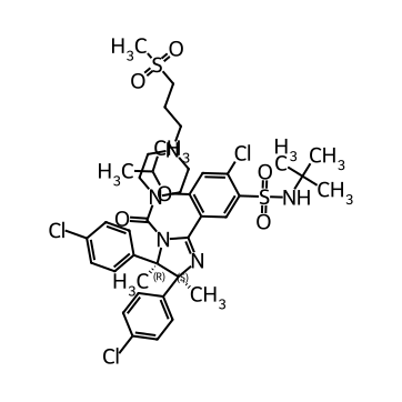 CC(C)Oc1cc(Cl)c(S(=O)(=O)NC(C)(C)C)cc1C1=N[C@@](C)(c2ccc(Cl)cc2)[C@@](C)(c2ccc(Cl)cc2)N1C(=O)N1CCN(CCCS(C)(=O)=O)CC1